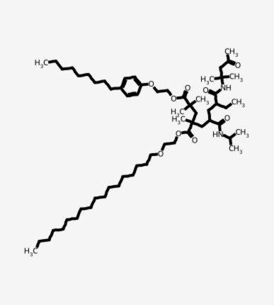 CCCCCCCCCCCCCCCCCCOCCOC(=O)C(C)(CC(CC(CC)C(=O)NC(C)(C)CC(C)=O)C(=O)NC(C)C)CC(C)(C)C(=O)OCCOc1ccc(CCCCCCCCC)cc1